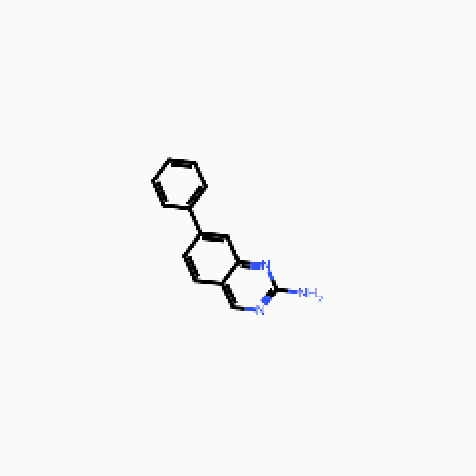 Nc1ncc2ccc(-c3ccccc3)cc2n1